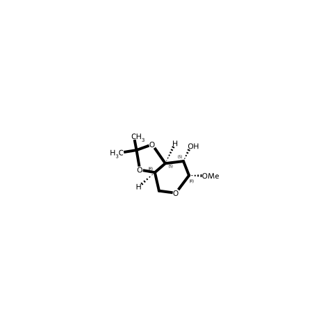 CO[C@@H]1OC[C@H]2OC(C)(C)O[C@H]2[C@@H]1O